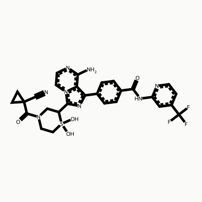 N#CC1(C(=O)N2CCS(O)(O)C(c3nc(-c4ccc(C(=O)Nc5cc(C(F)(F)F)ccn5)cc4)c4c(N)nccn34)C2)CC1